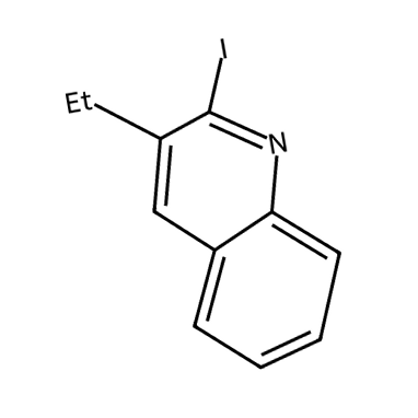 CCc1cc2ccccc2nc1I